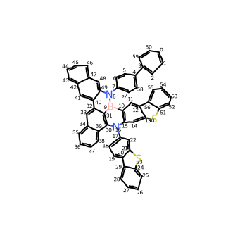 c1ccc(-c2ccc(N3B4c5cc6c(cc5N(c5ccc7c(c5)sc5ccccc57)c5c4c(cc4ccccc54)-c4cc5ccccc5cc43)sc3ccccc36)cc2)cc1